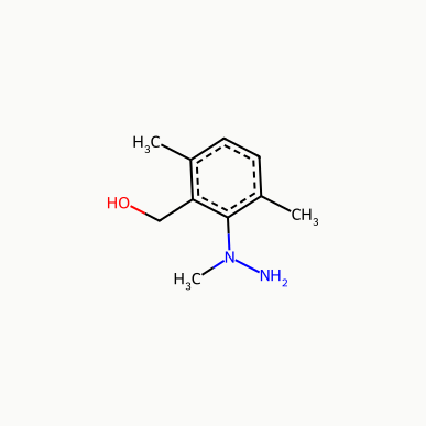 Cc1ccc(C)c(N(C)N)c1CO